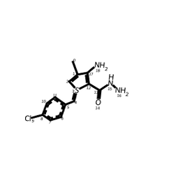 CC1=CS(=Cc2ccc(Cl)cc2)C(C(=O)NN)=C1N